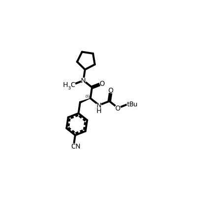 CN(C(=O)[C@H](Cc1ccc(C#N)cc1)NC(=O)OC(C)(C)C)C1CCCC1